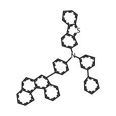 c1ccc(-c2cccc(N(c3ccc(-c4cc5ccc6ccccc6c5c5ccccc45)cc3)c3ccc4c(c3)sc3ccccc34)c2)cc1